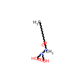 CCCCCCCCCCCCCCCOC(=O)CCCN(C)CCCN(CCCC(=O)O)CCCC(=O)O